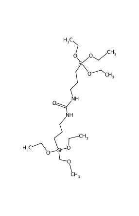 CCO[Si](CCCNC(=O)NCCC[Si](OCC)(OCC)OCC)(COC)OCC